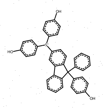 Oc1ccc([S+](c2ccc(O)cc2)c2ccc3c(c2)-c2ccccc2C3(c2ccccc2)c2ccc(O)cc2)cc1